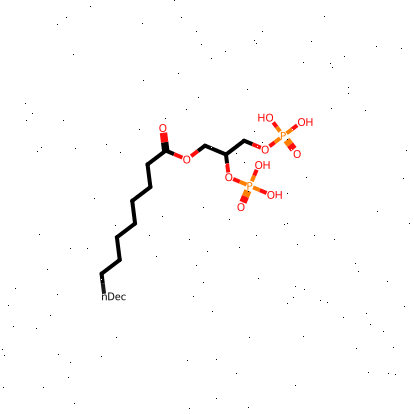 CCCCCCCCCCCCCCCCCC(=O)OCC(COP(=O)(O)O)OP(=O)(O)O